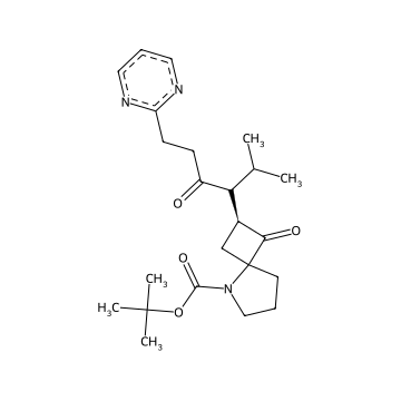 CC(C)C(C(=O)CCc1ncccn1)[C@@H]1CC2(CCCN2C(=O)OC(C)(C)C)C1=O